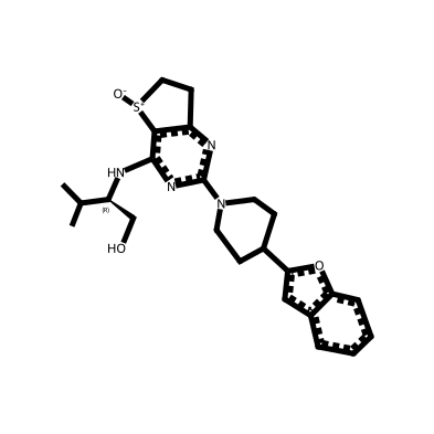 CC(C)[C@H](CO)Nc1nc(N2CCC(c3cc4ccccc4o3)CC2)nc2c1[S+]([O-])CC2